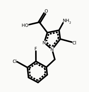 Nc1c(C(=O)O)nn(Cc2cccc(Cl)c2F)c1Cl